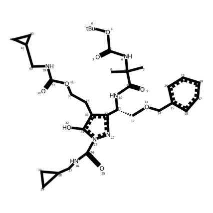 CC(C)(C)OC(=O)NC(C)(C)C(=O)N[C@H](COCc1ccccc1)c1nn(C(=O)NCC2CC2)c(O)c1CCOC(=O)NCC1CC1